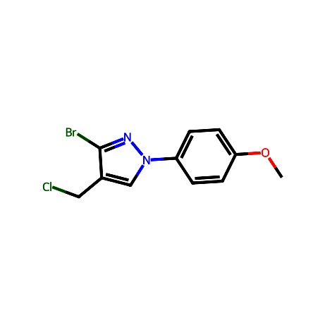 COc1ccc(-n2cc(CCl)c(Br)n2)cc1